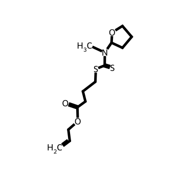 C=CCOC(=O)CCCSC(=S)N(C)C1CCCO1